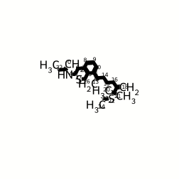 C=C(CC)NC1Cc2cccc(C(=C)CCCC(=C)C(C)(C)SCC)c2CS1